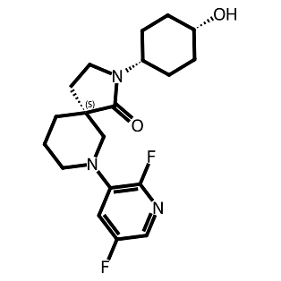 O=C1N([C@H]2CC[C@@H](O)CC2)CC[C@]12CCCN(c1cc(F)cnc1F)C2